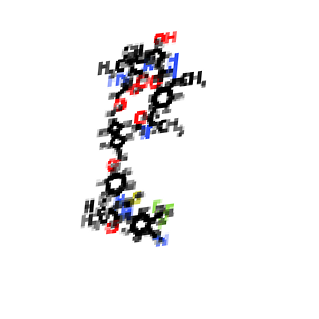 Cc1ncoc1-c1ccc([C@H](C)NC(=O)[C@@H]2C[C@@H](O)CN2C(=O)[C@@H](NC(=O)COC[C@H]2CC3(C2)C[C@H](COc2ccc(N4C(=S)N(c5ccc(C#N)c(C(F)(F)F)c5)C(=O)C4(C)C)cc2)C3)C(C)(C)C)cc1